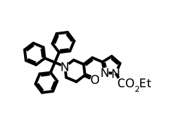 CCOC(=O)n1ccc(C=C2CN(C(c3ccccc3)(c3ccccc3)c3ccccc3)CCC2=O)n1